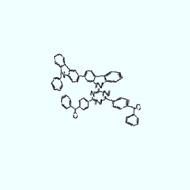 O=C(c1ccccc1)c1ccc(-c2nc(-c3ccc(C(=O)c4ccccc4)cc3)nc(-n3c4ccccc4c4ccc(-c5ccc6c(c5)c5ccccc5n6-c5ccccc5)cc43)n2)cc1